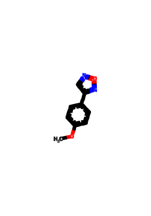 COc1ccc(-c2cnon2)cc1